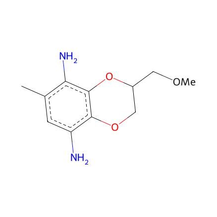 COCC1COc2c(N)cc(C)c(N)c2O1